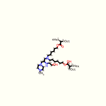 CCCCCCCCC(CCCCCC)C(=O)OCCCCCCN(CCCCCCOC(O)C(CCCCCC)CCCCCCCC)CC(CN1CCN(C)CC1)NCCO